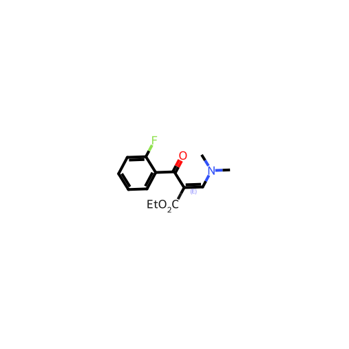 CCOC(=O)/C(=C/N(C)C)C(=O)c1ccccc1F